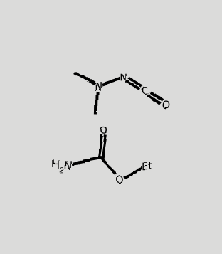 CCOC(N)=O.CN(C)N=C=O